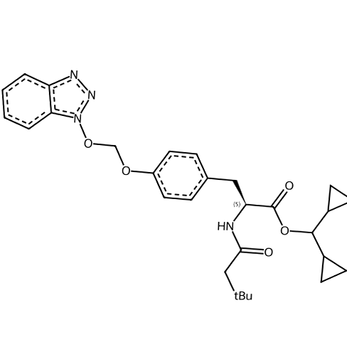 CC(C)(C)CC(=O)N[C@@H](Cc1ccc(OCOn2nnc3ccccc32)cc1)C(=O)OC(C1CC1)C1CC1